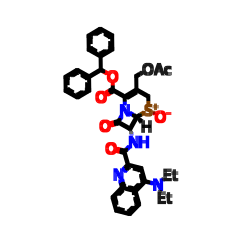 CCN(CC)c1cc(C(=O)N[C@@H]2C(=O)N3C(C(=O)OC(c4ccccc4)c4ccccc4)=C(COC(C)=O)C[S+]([O-])[C@H]23)nc2ccccc12